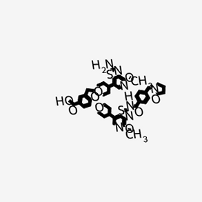 COc1ncc(C2CCOCC2)c2sc(N)nc12.COc1ncc(C2CCOCC2)c2sc(NC(=O)c3ccc(CN4CCCC4=O)cc3)nc12.O=C(O)c1ccc2c(c1)CCO2